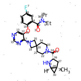 CCN(C(=O)c1cc(F)ccc1Oc1cncnc1N1CC2(CCN(C(=O)[C@@H]3C[C@@]4(C)C[C@H]4N3)CC2)C1)C(C)C